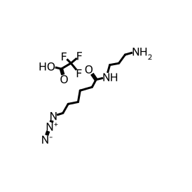 O=C(O)C(F)(F)F.[N-]=[N+]=NCCCCCC(=O)NCCCN